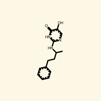 CC(CCc1ccccc1)Nc1ncc(O)c(=O)[nH]1